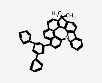 CC1(C)c2ccc3ccccc3c2-c2c1ccc1c3ccccc3n(-c3ccc(-c4cc(-c5ccccc5)cc(-c5ccccc5)c4)cc3)c21